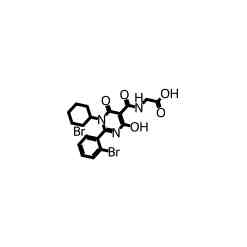 O=C(O)CNC(=O)c1c(O)nc(-c2c(Br)cccc2Br)n(C2CCCCC2)c1=O